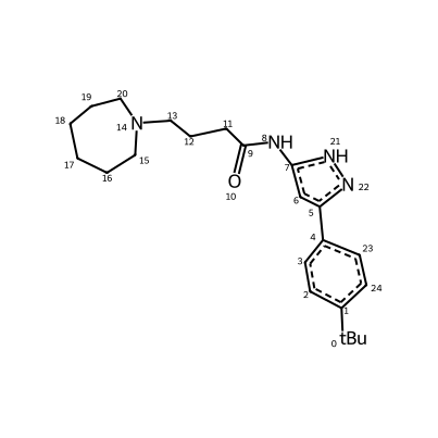 CC(C)(C)c1ccc(-c2cc(NC(=O)CCCN3CCCCCC3)[nH]n2)cc1